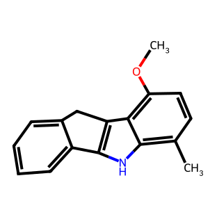 COc1ccc(C)c2[nH]c3c(c12)Cc1ccccc1-3